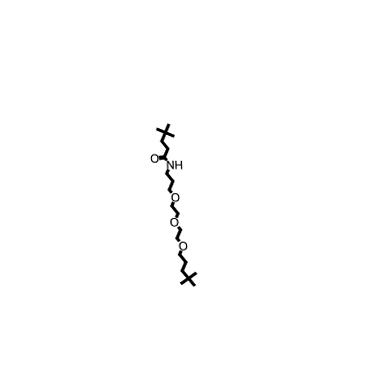 CC(C)(C)CCCOCCOCCOCCCNC(=O)CCC(C)(C)C